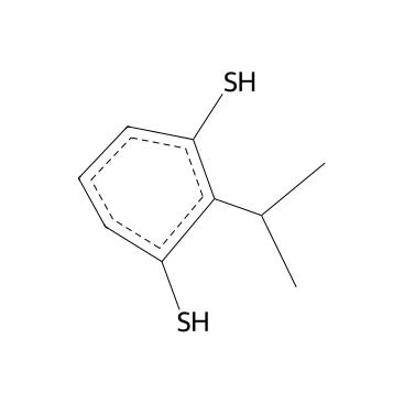 CC(C)c1c(S)cccc1S